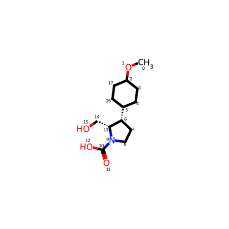 COC1CCC([C@@H]2CCN(C(=O)O)[C@@H]2CO)CC1